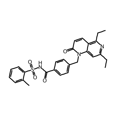 CCc1cc2c(ccc(=O)n2Cc2ccc(C(=O)NS(=O)(=O)c3ccccc3C)cc2)c(CC)n1